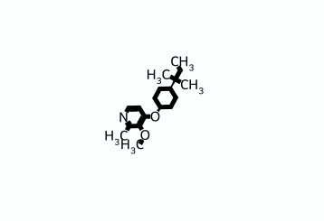 CCC(C)(C)[C@H]1CC[C@@H](Oc2ccnc(C)c2OC)CC1